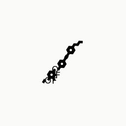 CCCCc1ccc(C#Cc2ccc(COc3ccc(OCC)c(F)c3F)cc2)cc1